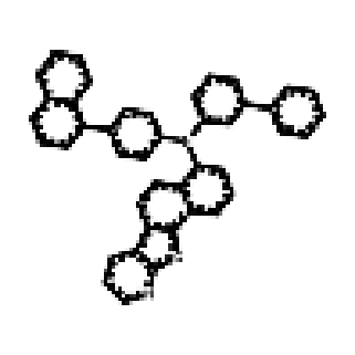 c1ccc(-c2cccc(N(c3ccc(-c4cccc5ccccc45)cc3)c3cccc4c3ccc3c5cccnc5oc43)c2)cc1